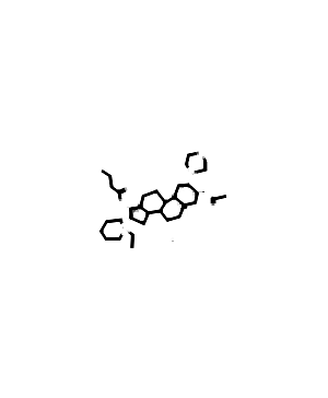 CCCC(=O)O[C@H]1[C@@H]([N+]2(CC)CCCCC2)CC2C3CC[C@H]4C[C@H](OC(C)=O)[C@@H](N5CCOCC5)C[C@]4(C)C3CC[C@@]21C.[Br-]